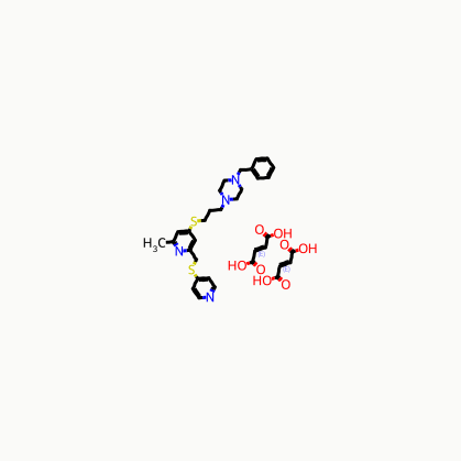 Cc1cc(SCCCN2CCN(Cc3ccccc3)CC2)cc(CSc2ccncc2)n1.O=C(O)/C=C/C(=O)O.O=C(O)/C=C/C(=O)O